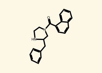 O=C(c1cccc2ccccc12)N1CCNC(Cc2ccccc2)C1